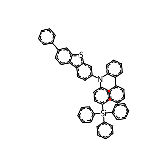 c1ccc(-c2ccc3c(c2)sc2cc(N(c4ccc([Si](c5ccccc5)(c5ccccc5)c5ccccc5)cc4)c4ccccc4-c4ccccc4)ccc23)cc1